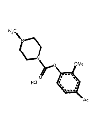 COc1cc(C(C)=O)ccc1OC(=O)N1CCN(C)CC1.Cl